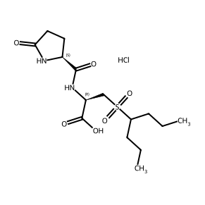 CCCC(CCC)S(=O)(=O)C[C@H](NC(=O)[C@@H]1CCC(=O)N1)C(=O)O.Cl